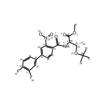 COC(=O)[C@H](NC(=O)c1ccc(-c2ccc(F)c(F)c2)cc1[N+](=O)[O-])[C@H](C)OC(C)(C)C